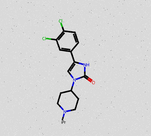 CC(C)N1CCC(n2cc(-c3ccc(Cl)c(Cl)c3)[nH]c2=O)CC1